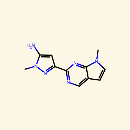 Cn1nc(-c2ncc3ccn(C)c3n2)cc1N